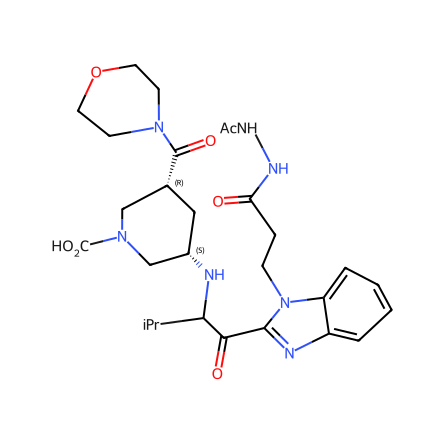 CC(=O)NNC(=O)CCn1c(C(=O)C(N[C@H]2C[C@@H](C(=O)N3CCOCC3)CN(C(=O)O)C2)C(C)C)nc2ccccc21